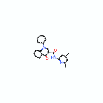 Cc1cc(C)nc(NC(=O)c2cn(-c3ccccc3)c3ccccc3c2=O)c1